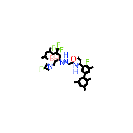 B=C(/C(=C\C(CCN1CC(F)C1)=N/NCC(=O)N[C@@H](CC)c1cc(C2=C(C)C=C(C)C=C(C)C2)cc(C)c1F)C(F)(F)F)C(C)CC(C)C